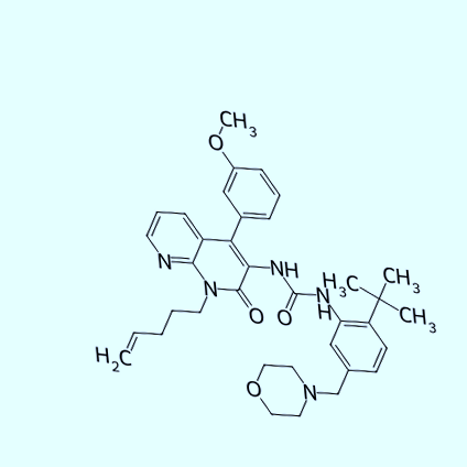 C=CCCCn1c(=O)c(NC(=O)Nc2cc(CN3CCOCC3)ccc2C(C)(C)C)c(-c2cccc(OC)c2)c2cccnc21